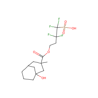 CC1(C(=O)OCCC(F)(F)C(F)(F)S(=O)(=O)O)CC2CCCC(O)(C2)C1